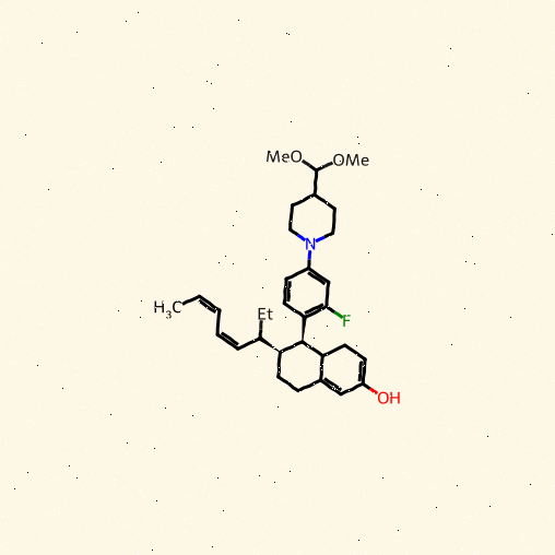 C/C=C\C=C/C(CC)[C@@H]1CCC2=CC(O)=CCC2[C@@H]1c1ccc(N2CCC(C(OC)OC)CC2)cc1F